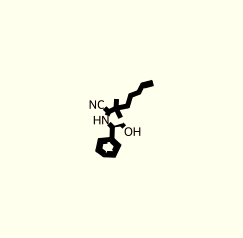 C=CCCCC(C)(C)C(C#N)N[C@@H](CO)c1ccccc1